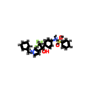 CN(c1ccc(C(O)(c2ccn(Cc3ccccc3)c2)C(F)(F)F)cc1)S(=O)(=O)c1ccccc1